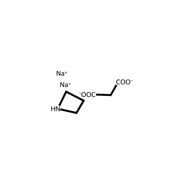 C1CNC1.O=C([O-])CC(=O)[O-].[Na+].[Na+]